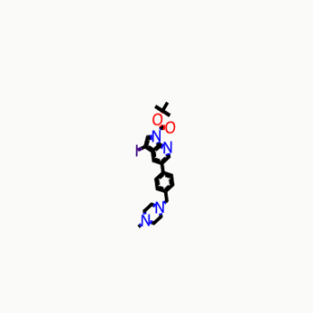 CN1CCN(Cc2ccc(-c3cnc4c(c3)c(I)cn4C(=O)OC(C)(C)C)cc2)CC1